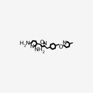 Cc1ccc(OCc2ccc(Cc3cc(-c4ccc(N)nc4N)on3)cc2)nc1